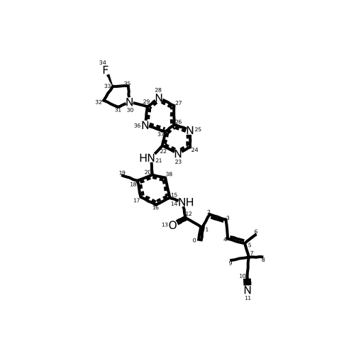 C=C(/C=C\C=C(/C)C(C)(C)C#N)C(=O)Nc1ccc(C)c(Nc2ncnc3cnc(N4CC[C@@H](F)C4)nc23)c1